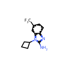 Nc1nc2ccc(C(F)(F)F)cc2n1C1CCC1